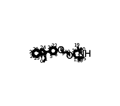 CCn1c(-c2ccc(OCCOC3CC(C)(C)NC(C)(C)C3)cc2)cc2ccccc21